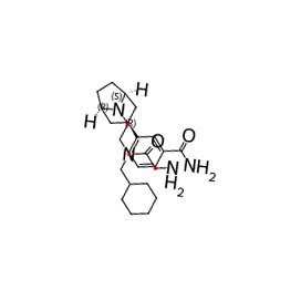 NCC(=O)N(CCN1[C@@H]2CC[C@H]1C[C@@H](c1cccc(C(N)=O)c1)C2)CC1CCCCC1